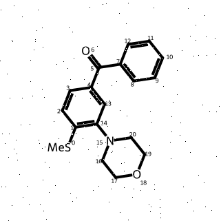 CSc1ccc(C(=O)c2ccccc2)cc1N1CCOCC1